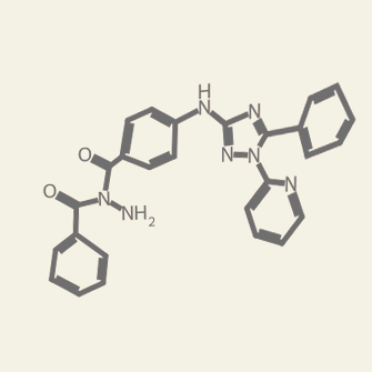 NN(C(=O)c1ccccc1)C(=O)c1ccc(Nc2nc(-c3ccccc3)n(-c3ccccn3)n2)cc1